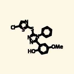 COc1ccc(O)c(-c2nnc(Sc3ncc(Cl)s3)n2-c2ccccc2)c1